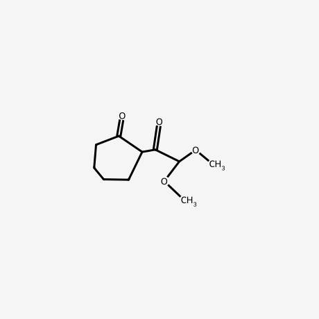 COC(OC)C(=O)C1CCCCC1=O